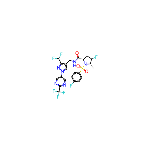 C[C@H]1[C@H](F)C[C@@H](C(=O)NCc2cn(-c3cnc(C(F)(F)F)nc3)nc2C(F)F)N1S(=O)(=O)c1ccc(F)cc1